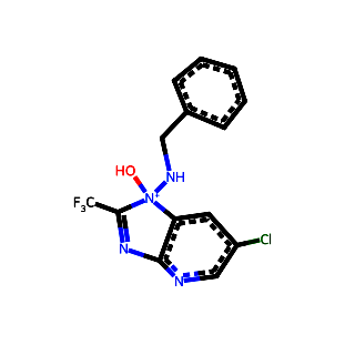 O[N+]1(NCc2ccccc2)C(C(F)(F)F)=Nc2ncc(Cl)cc21